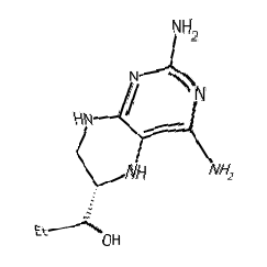 CCC(O)[C@@H]1CNc2nc(N)nc(N)c2N1